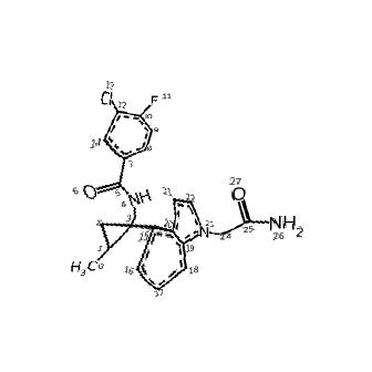 CC1CC1(NC(=O)c1ccc(F)c(Cl)c1)c1cccc2c1ccn2CC(N)=O